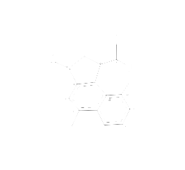 CC(C)(C)N1CC(C(Cl)Cl)c2c1cc(O)c1cccc(C(F)(F)F)c21